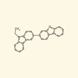 CCn1c2ccccc2c2cc(-c3ccc4c(c3)oc3ccccc34)ccc21